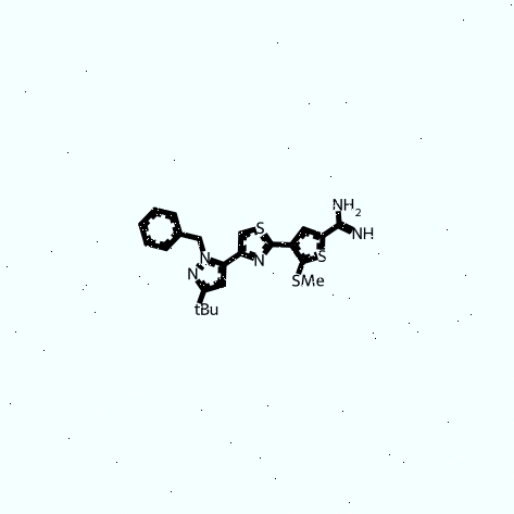 CSc1sc(C(=N)N)cc1-c1nc(-c2cc(C(C)(C)C)nn2Cc2ccccc2)cs1